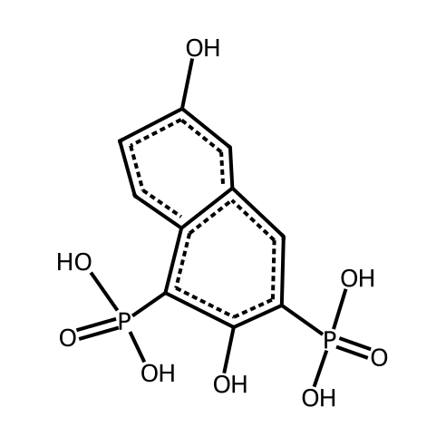 O=P(O)(O)c1cc2cc(O)ccc2c(P(=O)(O)O)c1O